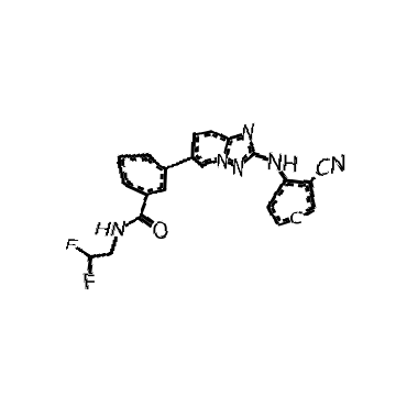 N#Cc1ccccc1Nc1nc2ccc(-c3cccc(C(=O)NCC(F)F)c3)cn2n1